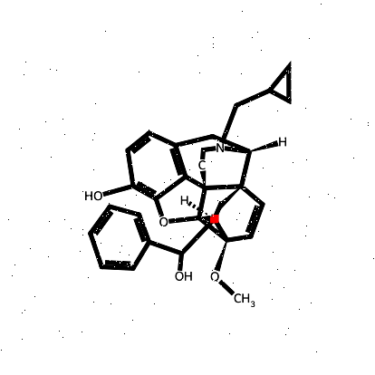 CO[C@]12C=C[C@@]3(C[C@@H]1C(O)c1ccccc1)[C@H]1Cc4ccc(O)c5c4[C@@]3(CCN1CC1CC1)[C@H]2O5